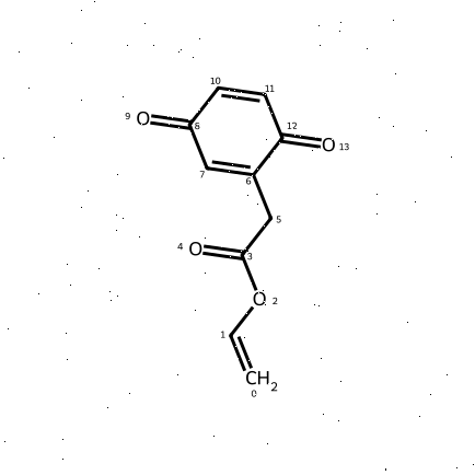 C=COC(=O)CC1=CC(=O)C=CC1=O